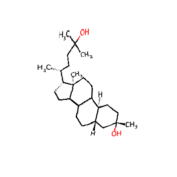 C[C@H](CCC(C)(C)O)[C@H]1CCC2C3CC[C@H]4C[C@@](C)(O)CC[C@@H]4C3CC[C@@]21C